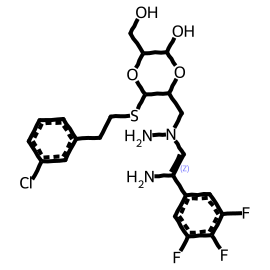 N/C(=C\N(N)CC1OC(O)C(CO)OC1SCCc1cccc(Cl)c1)c1cc(F)c(F)c(F)c1